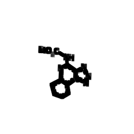 CCOC(=O)Nc1nc2ccccc2n2nnnc12